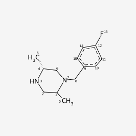 CC1CN[C@H](C)CN1Cc1ccc(F)cc1